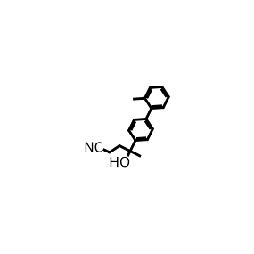 Cc1ccccc1-c1ccc(C(C)(O)CCC#N)cc1